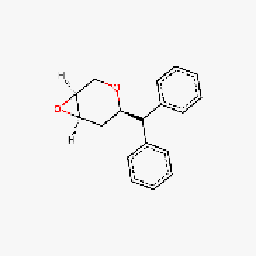 c1ccc(C(c2ccccc2)[C@H]2C[C@H]3O[C@H]3CO2)cc1